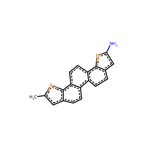 Cc1cc2ccc3c4ccc5cc(N)sc5c4ccc3c2s1